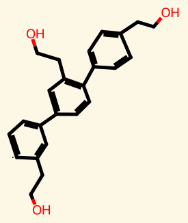 OCCc1[c]ccc(-c2ccc(-c3ccc(CCO)cc3)c(CCO)c2)c1